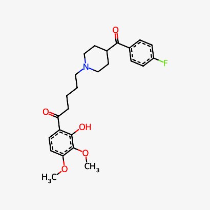 COc1ccc(C(=O)CCCCN2CCC(C(=O)c3ccc(F)cc3)CC2)c(O)c1OC